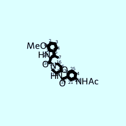 COc1cccc2c(C)c(C(=O)N3CCC4(CC3)NC(=O)c3cc(NC(C)=O)ccc3O4)[nH]c12